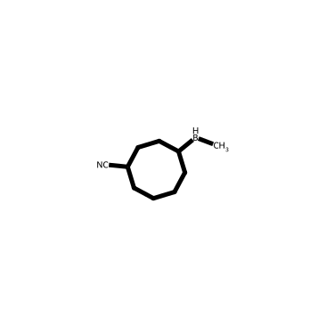 CBC1CCCCC(C#N)CC1